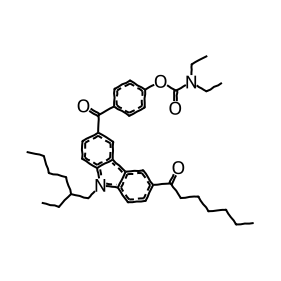 CCCCCCC(=O)c1ccc2c(c1)c1cc(C(=O)c3ccc(OC(=O)N(CC)CC)cc3)ccc1n2CC(CC)CCCC